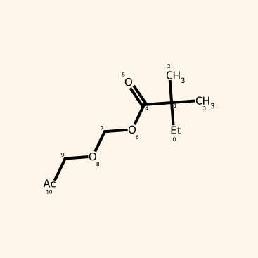 CCC(C)(C)C(=O)OCOCC(C)=O